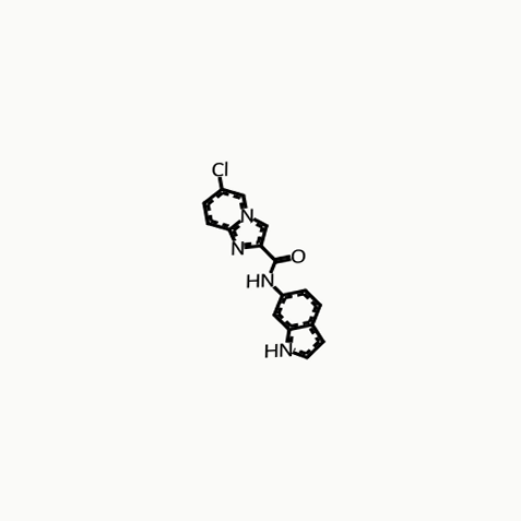 O=C(Nc1ccc2cc[nH]c2c1)c1cn2cc(Cl)ccc2n1